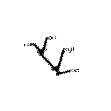 CCCCCCCCC=CCCCCCCCC(=O)OCC(COC(=O)CCCCCCCC=CCCCCCCCC(=O)OC(COC(=O)CCCCCCCC=CCCCCCCCC)COC(=O)CCCCCCCCCCCCCCCCC)OC(=O)CCCCCCCC=CCCCCCCCC(=O)O